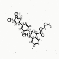 CCOC(=O)C(=O)c1ccccc1COc1ccc(-c2cc(Cl)n(C)n2)cc1C